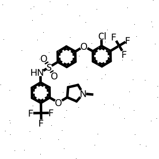 CN1CCC(Oc2cc(NS(=O)(=O)c3ccc(Oc4cccc(C(F)(F)F)c4Cl)cc3)ccc2C(F)(F)F)C1